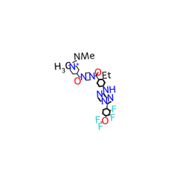 CCc1cc(Nc2nccn3c(-c4ccc(OC(F)F)c(F)c4F)cnc23)ccc1C(=O)N1CCN(C(=O)C2CC[N+](C)(CCNC)CC2)CC1